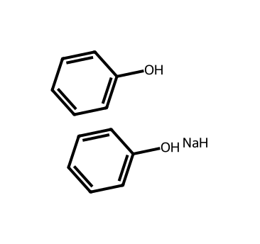 Oc1ccccc1.Oc1ccccc1.[NaH]